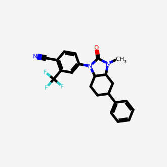 CN1C(=O)N(c2ccc(C#N)c(C(F)(F)F)c2)C2CCC(c3ccccc3)CC21